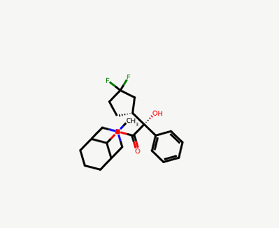 CN1CC2CCCC(C1)C2OC(=O)[C@](O)(c1ccccc1)[C@@H]1CCC(F)(F)C1